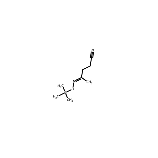 C/C(CCC#N)=N\O[Si](C)(C)C